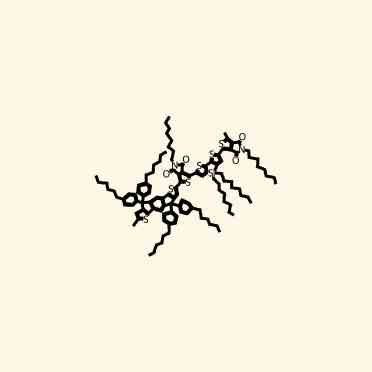 CCCCCCCCN1C(=O)c2c(C)sc(-c3cc4c(s3)-c3sc(-c5sc(-c6cc7c(s6)-c6cc8c(cc6C7(c6ccc(CCCCCC)cc6)c6ccc(CCCCCC)cc6)-c6sc(C)cc6C8(c6ccc(CCCCCC)cc6)c6ccc(CCCCCC)cc6)c6c5C(=O)N(CCCCCCCC)C6=O)cc3[Si]4(CCCCCCCC)CCCCCCCC)c2C1=O